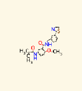 CCOc1ccc(NC(=O)C(C)C)cc1C(=O)NCc1cccc(-c2nccs2)c1